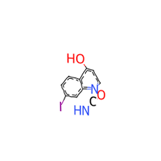 N=C=O.Oc1ccnc2cc(I)ccc12